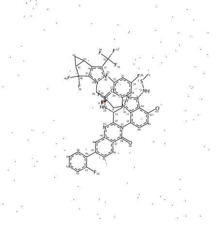 CSNc1nn(CC(F)(F)F)c2c(-n3c(C(Cc4cc(F)cc(F)c4)NC(=O)Cn4nc(C(F)(F)F)c5c4C(F)(F)C4CC54)nc4cc(-c5ccccc5F)ccc4c3=O)ccc(Cl)c12